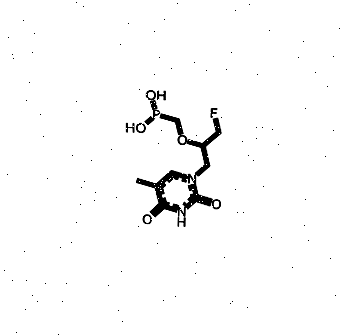 Cc1cn(CC(CF)OCP(O)O)c(=O)[nH]c1=O